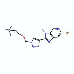 Cn1c(-c2cnn(COCC[Si](C)(C)C)c2)nc2cc(Br)ncc21